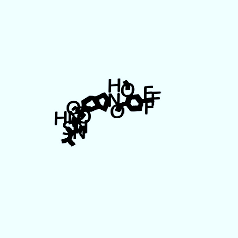 CCOc1cc(C(F)(F)F)ccc1C(=O)NC1Cc2ccc(S(=O)(=O)Nc3nnc(C(C)C)s3)cc2C1